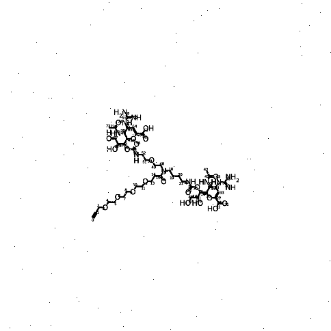 C#CCOCCOCCOCCOCCC(=O)N(CCCCNC(=O)O[C@@H]([C@@H]1OC(C(=O)O)=C[C@H](NC(=N)N)[C@H]1NC(C)=O)[C@H](O)CO)CCOCCNC(=O)O[C@@H]([C@@H]1OC(C(=O)O)=C[C@H](NC(=N)N)[C@H]1NC(C)=O)[C@H](O)CO